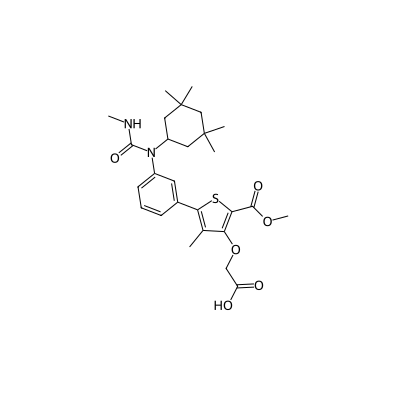 CNC(=O)N(c1cccc(-c2sc(C(=O)OC)c(OCC(=O)O)c2C)c1)C1CC(C)(C)CC(C)(C)C1